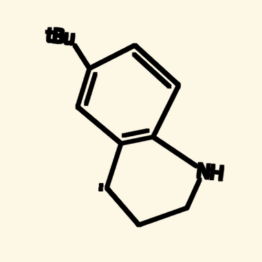 CC(C)(C)c1ccc2c(c1)[C]CCN2